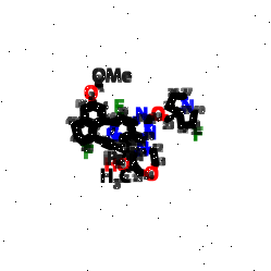 COCOc1cc(-c2ncc3c(N4CCOCC(C)(O)C4)nc(OC[C@@]45CCCN4C[C@H](F)C5)nc3c2F)c2c(C#C[Si](C(C)C)(C(C)C)C(C)C)c(F)ccc2c1